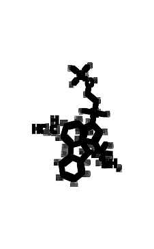 C[Si](C)(C)OCC[Si](C)(C)C1=CC[C]([Zr]([CH3])([CH3])(=[SiH2])[CH]2c3ccccc3-c3ccccc32)=C1.Cl.Cl